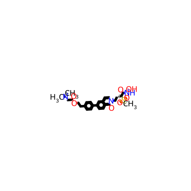 CN(C)CC(=O)OCCc1ccc(-c2ccc3c(=O)n(CC[C@H](C(=O)NO)S(C)(=O)=O)ccc3c2)cc1